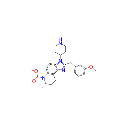 COC(=O)N1c2ccc3c(nc(Cc4cccc(OC)c4)n3C3CCNCC3)c2CC[C@@H]1C